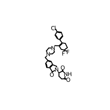 O=C1CCC(N2Cc3cc(CN4CCN(CC5=C(c6ccc(Cl)cc6)CCC(F)(F)C5)CC4)ccc3C2=O)C(=O)N1